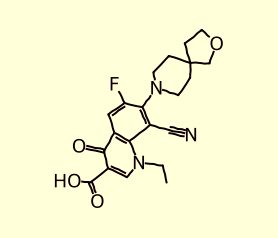 CCn1cc(C(=O)O)c(=O)c2cc(F)c(N3CCC4(CCOC4)CC3)c(C#N)c21